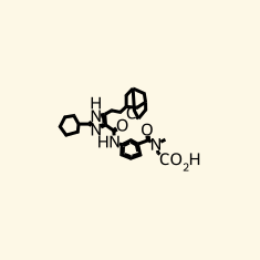 CN(CC(=O)O)C(=O)c1cccc(NC(=O)c2nc(C3CCCCC3)[nH]c2CCC23CC4CC(CC(C4)C2)C3)c1